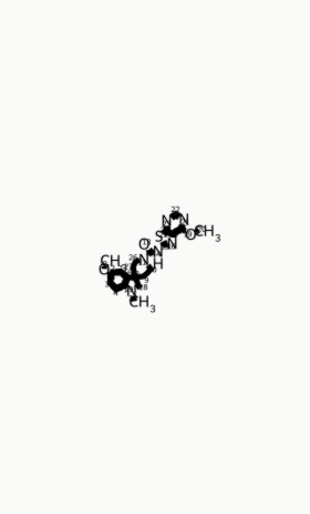 COc1ccc2c(c1)C1(CCN(C(=O)Nc3nc4c(OC)ncnc4s3)CC1)CN2C